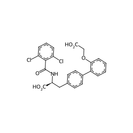 O=C(O)COc1ccccc1-c1ccc(C[C@H](NC(=O)c2c(Cl)cccc2Cl)C(=O)O)cc1